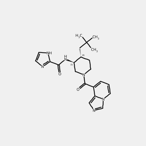 CC(C)(C)C[C@@H]1CCN(C(=O)c2cccn3cncc23)C[C@H]1NC(=O)c1ncc[nH]1